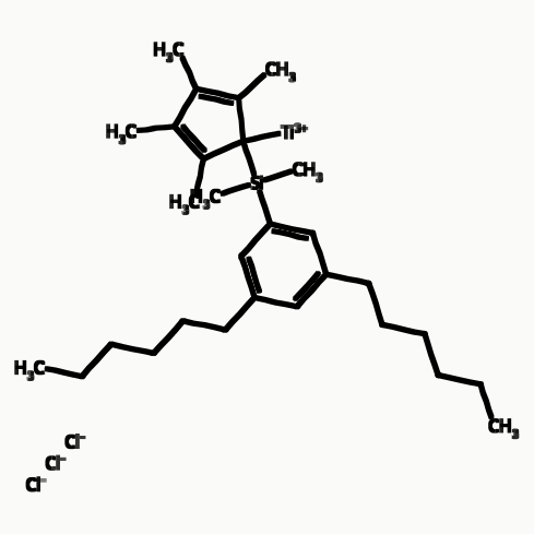 CCCCCCc1cc(CCCCCC)cc([Si](C)(C)[C]2([Ti+3])C(C)=C(C)C(C)=C2C)c1.[Cl-].[Cl-].[Cl-]